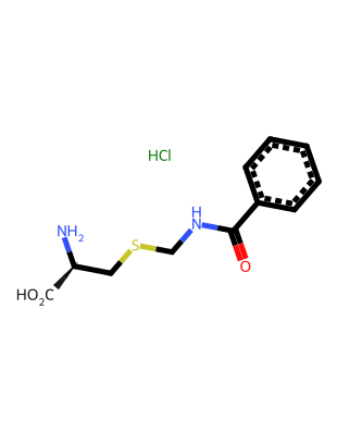 Cl.N[C@@H](CSCNC(=O)c1ccccc1)C(=O)O